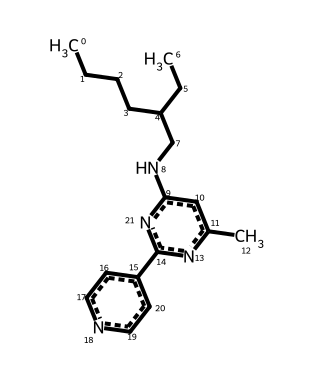 CCCCC(CC)CNc1cc(C)nc(-c2ccncc2)n1